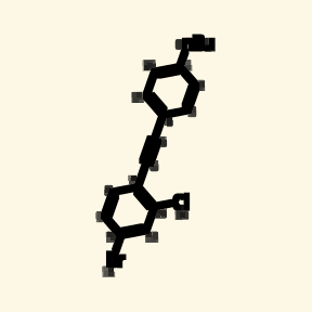 CCCCc1ccc(C#Cc2ccc(Br)cc2Cl)cc1